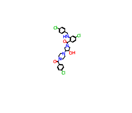 O=C(c1ccc(Cl)cc1)N1CCN(C2CN(C(=O)c3ccc(Cl)cc3NCc3ccc(Cl)cc3)C[C@H]2O)CC1